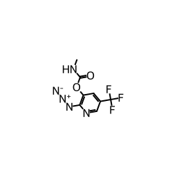 CNC(=O)Oc1cc(C(F)(F)F)cnc1N=[N+]=[N-]